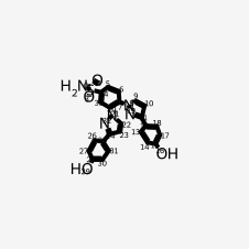 NS(=O)(=O)c1ccc(-n2ccc(-c3ccc(O)cc3)n2)c(-n2ccc(-c3ccc(O)cc3)n2)c1